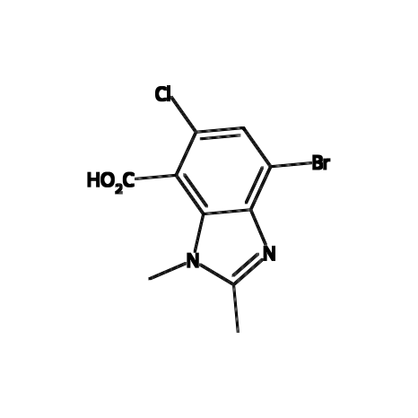 Cc1nc2c(Br)cc(Cl)c(C(=O)O)c2n1C